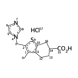 Cc1c(Cn2ccnc2)sc2c1CCC(C(=O)O)C2.Cl